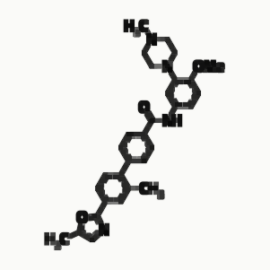 COc1ccc(NC(=O)c2ccc(-c3ccc(-c4ncc(C)o4)cc3C)cc2)cc1N1CCN(C)CC1